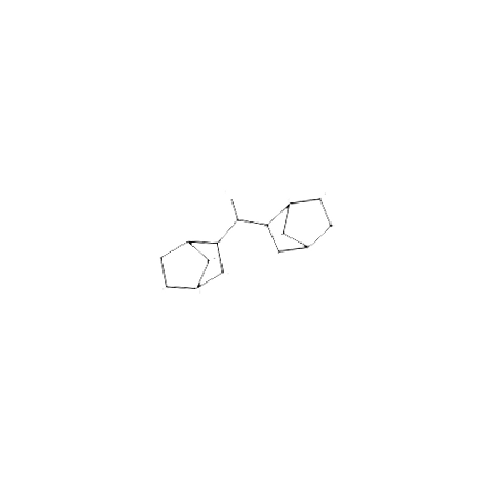 OC(C1CC2CCC1C2)C1CC2CCC1C2